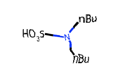 CCCCN(CCCC)S(=O)(=O)O